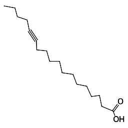 CCCCC#CCCCCCCCCCCCC(=O)O